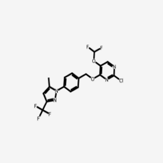 Cc1cc(C(F)(F)F)nn1-c1ccc(COc2nc(Cl)ncc2OC(F)F)cc1